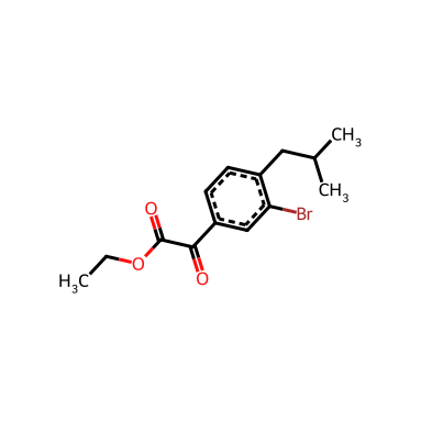 CCOC(=O)C(=O)c1ccc(CC(C)C)c(Br)c1